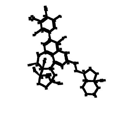 Cc1cc(-c2nc3c4c(nc(OC[C@@H]5CC[C@H]6COCCN65)nc4c2F)N2C[C@H]4CC[C@H](N4)[C@H]2[C@H](C)O3)c(F)c(N)c1Cl